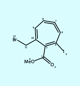 COC(=O)C1=C(I)C=C=CC=C1CBr